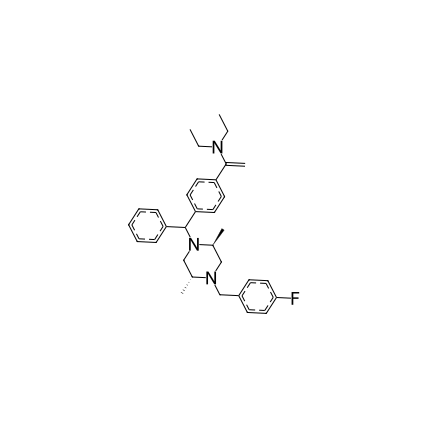 C=C(c1ccc(C(c2ccccc2)N2C[C@@H](C)N(Cc3ccc(F)cc3)C[C@@H]2C)cc1)N(CC)CC